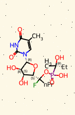 CCCC(F)(OP(=O)(O)[C@@](C)(O)CC)[C@H]1O[C@@H](n2cc(C)c(=O)[nH]c2=O)[C@H](O)[C@@H]1O